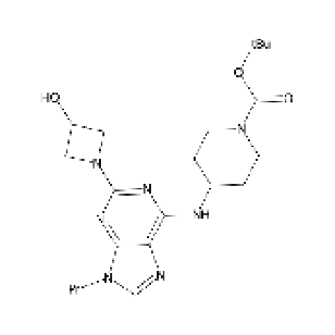 CC(C)n1cnc2c(NC3CCN(C(=O)OC(C)(C)C)CC3)nc(N3CC(O)C3)nc21